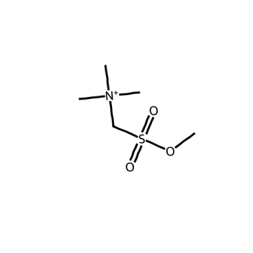 COS(=O)(=O)C[N+](C)(C)C